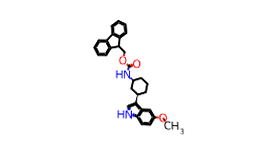 COc1ccc2[nH]cc([C@@H]3CCC[C@H](NC(=O)OCC4c5ccccc5-c5ccccc54)C3)c2c1